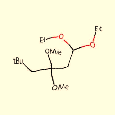 CCOC(CC(CC(C)(C)C)(OC)OC)OCC